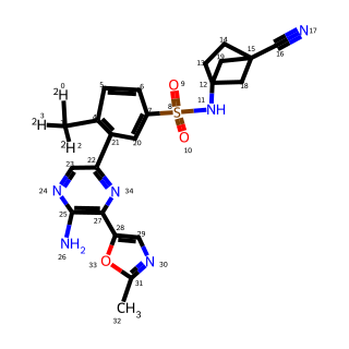 [2H]C([2H])([2H])c1ccc(S(=O)(=O)NC23CCC(C#N)(C2)C3)cc1-c1cnc(N)c(-c2cnc(C)o2)n1